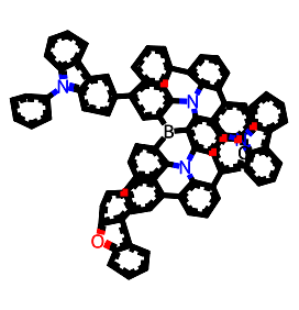 c1ccc(-c2cccc(-c3ccccc3)c2N2c3ccc(-c4ccc5c(c4)c4ccccc4n5-c4ccccc4)cc3B3c4ccc(-c5ccc6oc7ccccc7c6c5)cc4N(c4c(-c5ccccc5)cccc4-c4ccccc4)c4cc(-n5c6ccccc6c6ccccc65)cc2c43)cc1